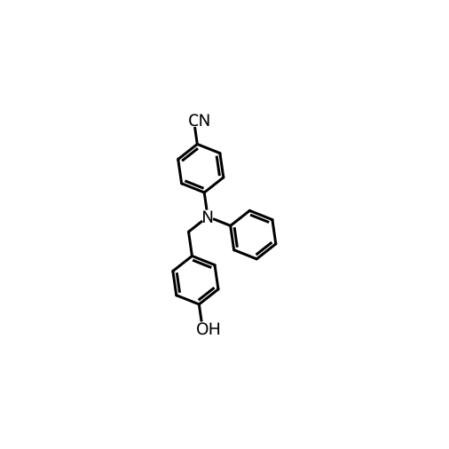 N#Cc1ccc(N(Cc2ccc(O)cc2)c2ccccc2)cc1